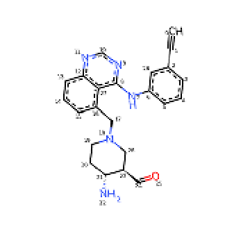 C#Cc1cccc(Nc2ncnc3cccc(CN4CC[C@@H](N)[C@H](C=O)C4)c23)c1